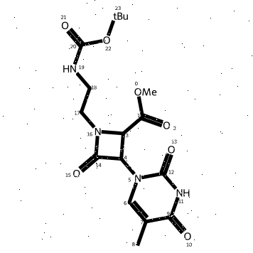 COC(=O)C1C(n2cc(C)c(=O)[nH]c2=O)C(=O)N1CCNC(=O)OC(C)(C)C